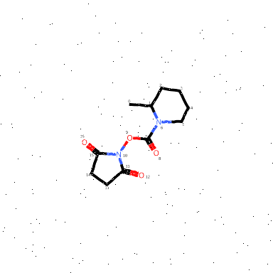 CC1CCCCN1C(=O)ON1C(=O)CCC1=O